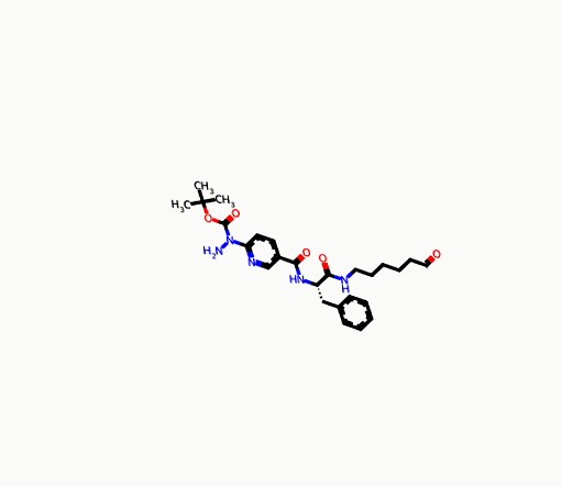 CC(C)(C)OC(=O)N(N)c1ccc(C(=O)N[C@@H](Cc2ccccc2)C(=O)NCCCCC[C]=O)cn1